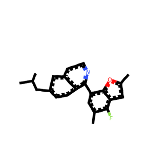 Cc1cc2c(F)c(C)cc(-c3nccc4cc(CC(C)C)ccc34)c2o1